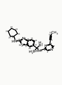 BC(B)(Nc1cncc(C#CC)n1)c1ccc2nc(NC3CCCCC3)sc2c1